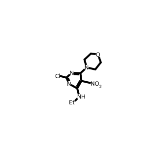 CCNc1nc(Cl)nc(N2CCOCC2)c1[N+](=O)[O-]